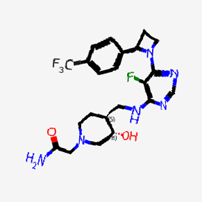 NC(=O)CN1CC[C@@H](CNc2ncnc(N3CCC3c3ccc(C(F)(F)F)cc3)c2F)[C@H](O)C1